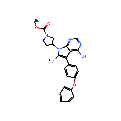 Cc1c(-c2ccc(Oc3ccccc3)cc2)c2c(N)ncnc2n1C1CCN(C(=O)OC(C)(C)C)C1